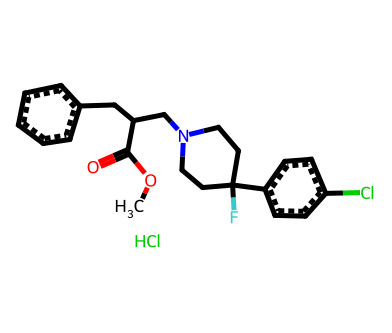 COC(=O)C(Cc1ccccc1)CN1CCC(F)(c2ccc(Cl)cc2)CC1.Cl